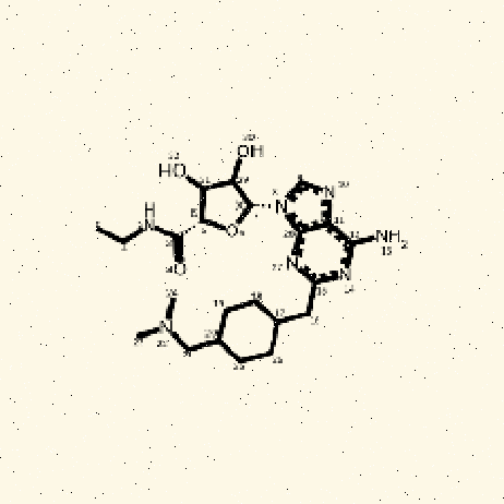 CCNC(=O)[C@H]1O[C@@H](n2cnc3c(N)nc(CC4CCC(CN(C)C)CC4)nc32)C(O)C1O